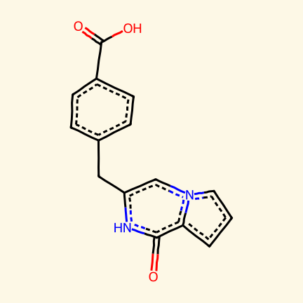 O=C(O)c1ccc(Cc2cn3cccc3c(=O)[nH]2)cc1